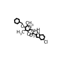 Cc1nc(NC(=O)c2cc3cc(Cl)ccc3[nH]2)c(C)c(C)c1OCc1ccccc1